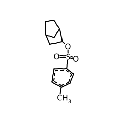 Cc1ccc(S(=O)(=O)OC2CC3CCC2C3)cc1